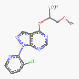 CC(C)OCC(Oc1ncnc2c1cnn2-c1ncccc1Cl)C(=O)O